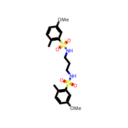 COc1ccc(C)c(S(=O)(=O)NCCCNS(=O)(=O)c2cc(OC)ccc2C)c1